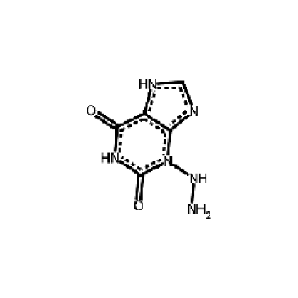 NNn1c(=O)[nH]c(=O)c2[nH]cnc21